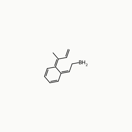 BC/C=c1/cccc/c1=C(\C)C=C